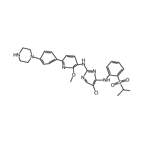 COc1nc(-c2ccc(N3CCNCC3)cc2)ccc1Nc1ncc(Cl)c(Nc2ccccc2S(=O)(=O)C(C)C)n1